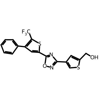 OCc1cc(-c2noc(-c3cc(-c4ccccc4)c(C(F)(F)F)s3)n2)cs1